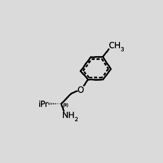 Cc1ccc(OC[C@H](N)C(C)C)cc1